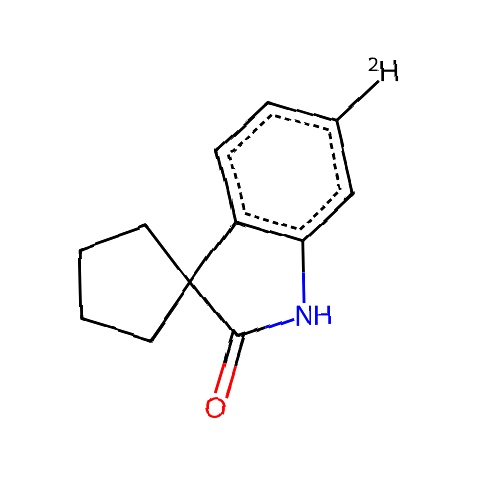 [2H]c1ccc2c(c1)NC(=O)C21CCCC1